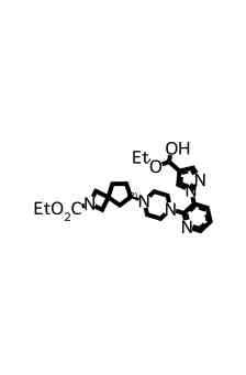 CCOC(=O)N1CC2(CC[C@@H](N3CCN(c4ncccc4-n4cc(C(O)OCC)cn4)CC3)C2)C1